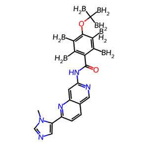 Bc1c(B)c(C(=O)Nc2cc3nc(-c4cncn4C)ccc3cn2)c(B)c(B)c1OC(B)(B)B